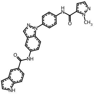 Cn1nccc1C(=O)Nc1ccc(-n2ncc3cc(NC(=O)c4ccc5[nH]ccc5c4)ccc32)cc1